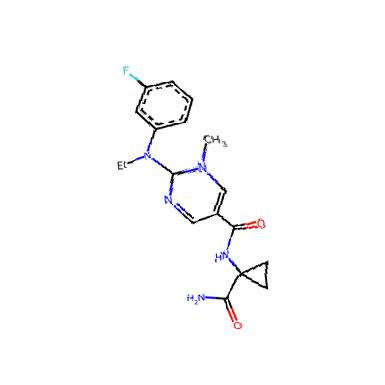 CCN(c1cccc(F)c1)C1N=CC(C(=O)NC2(C(N)=O)CC2)=CN1C